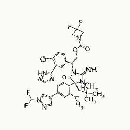 CC1C=C(c2cnn(C(F)F)c2)C=CC1[C@@]1(CC(C)(C)C)NC(=N)N([C@H](COC(=O)N2CC(F)(F)C2)c2ccc(Cl)c(-c3ncn[nH]3)c2)C1=O